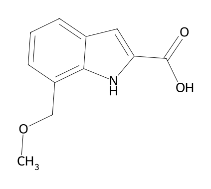 COCc1cccc2cc(C(=O)O)[nH]c12